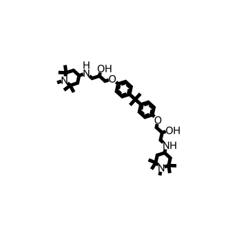 CN1C(C)(C)CC(NCC(O)COc2ccc(C(C)(C)c3ccc(OCC(O)CNC4CC(C)(C)N(C)C(C)(C)C4)cc3)cc2)CC1(C)C